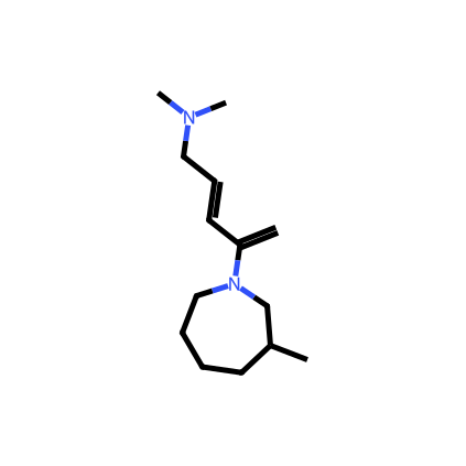 C=C(/C=C/CN(C)C)N1CCCCC(C)C1